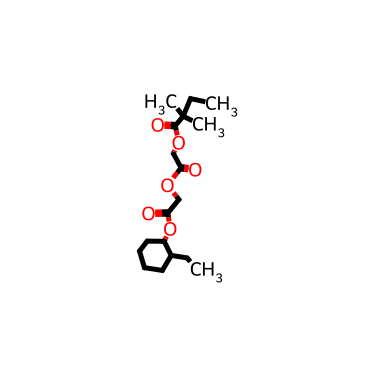 CCC1CCCCC1OC(=O)COC(=O)COC(=O)C(C)(C)CC